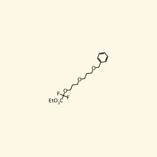 CCOC(=O)C(F)(F)OCCCOCCCOCc1ccccc1